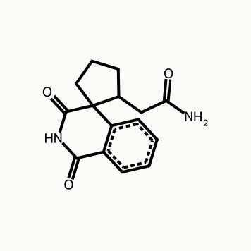 NC(=O)CC1CCCC12C(=O)NC(=O)c1ccccc12